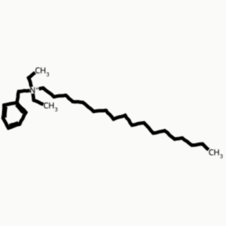 CCCCCCCCCCCCCCCCCC[N+](CC)(CC)Cc1ccccc1